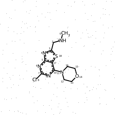 CNCc1nc2nc(Cl)nc(N3CCOCC3)c2s1